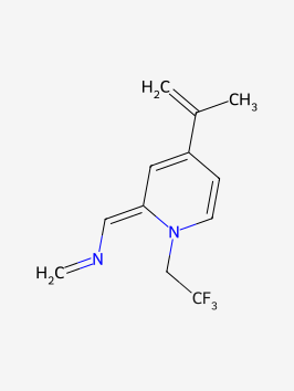 C=N/C=C1/C=C(C(=C)C)C=CN1CC(F)(F)F